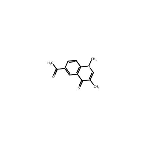 CC(=O)c1ccc2c(c1)c(=S)c(C)cn2C